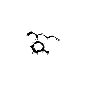 C=CC(=O)OCCO.Cc1ccccc1